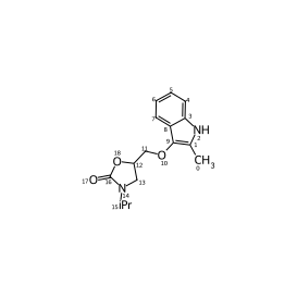 Cc1[nH]c2ccccc2c1OCC1CN(C(C)C)C(=O)O1